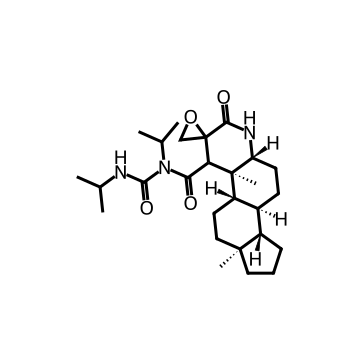 CC(C)NC(=O)N(C(=O)C1C2(CO2)C(=O)N[C@@H]2CC[C@H]3[C@@H]4CCC[C@@]4(C)CC[C@@H]3[C@@]12C)C(C)C